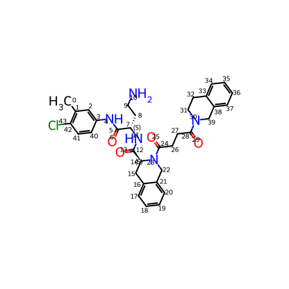 Cc1cc(NC(=O)[C@H](CCN)NC(=O)[C@@H]2Cc3ccccc3CN2C(=O)CCC(=O)N2CCc3ccccc3C2)ccc1Cl